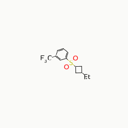 CCC1CC(S(=O)(=O)c2cccc(C(F)(F)F)c2)C1